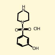 Cl.O=S(=O)(c1cccc(O)c1)N1CCNCC1